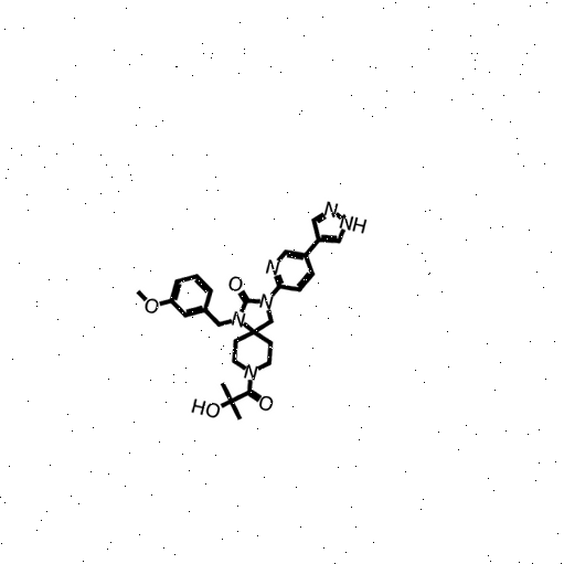 COc1cccc(CN2C(=O)N(c3ccc(-c4cn[nH]c4)cn3)CC23CCN(C(=O)C(C)(C)O)CC3)c1